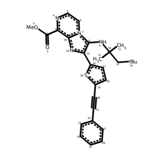 COC(=O)c1nccn2c(NC(C)(C)CC(C)(C)C)c(-c3ccc(C#Cc4ccccc4)s3)nc12